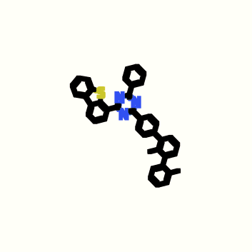 Cc1ccccc1-c1cccc(-c2ccc(-c3nc(-c4ccccc4)nc(-c4cccc5c4sc4ccccc45)n3)cc2)c1C